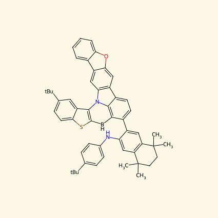 CC(C)(C)c1ccc(Nc2cc3c(cc2-c2ccc4c5cc6oc7ccccc7c6cc5n5c4c2Bc2sc4ccc(C(C)(C)C)cc4c2-5)C(C)(C)CCC3(C)C)cc1